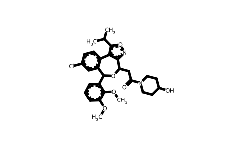 COc1cccc(C2OC(CC(=O)N3CCC(O)CC3)c3noc(C(C)C)c3-c3ccc(Cl)cc32)c1OC